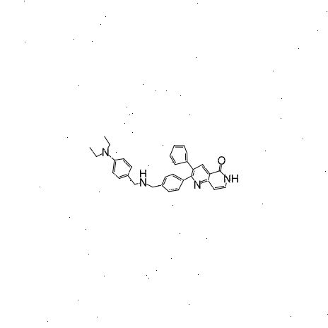 CCN(CC)c1ccc(CNCc2ccc(-c3nc4cc[nH]c(=O)c4cc3-c3ccccc3)cc2)cc1